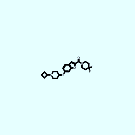 O=C(c1cc2ccc(OC3CCN(C4CCC4)CC3)cc2o1)N1CCC(F)(F)CC1